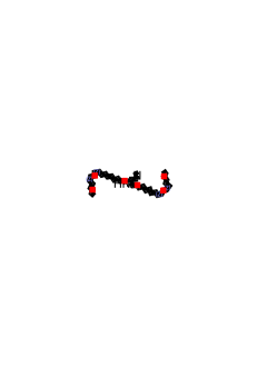 CCCCC/C=C\C/C=C\CCCCCCCCNN(CCCCCCCC/C=C\C/C=C\CCCCC)CCN(C)C